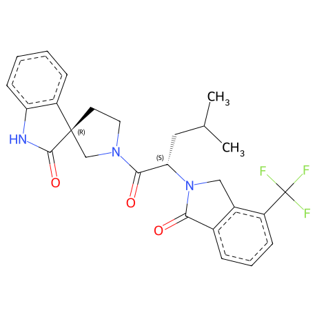 CC(C)C[C@@H](C(=O)N1CC[C@@]2(C1)C(=O)Nc1ccccc12)N1Cc2c(cccc2C(F)(F)F)C1=O